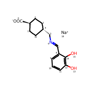 O=C([O-])[C@H]1CC[C@H](CN=Cc2cccc(O)c2O)CC1.[Na+]